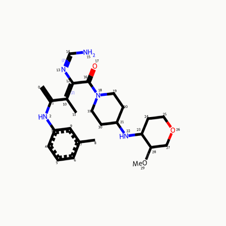 C=C(Nc1cccc(C)c1)/C(C)=C(\N=C/N)C(=O)N1CCC(NC2CCOCC2OC)CC1